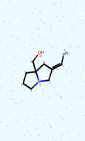 CCC/C=C1/CN2CCCC2(CO)C1